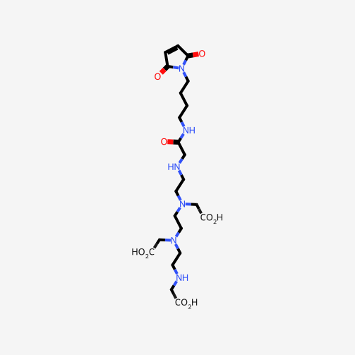 O=C(O)CNCCN(CCN(CCNCC(=O)NCCCCN1C(=O)C=CC1=O)CC(=O)O)CC(=O)O